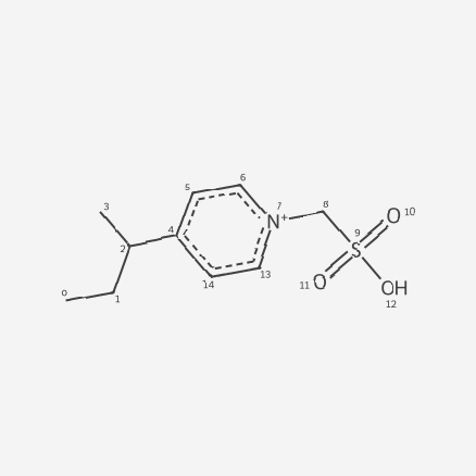 CCC(C)c1cc[n+](CS(=O)(=O)O)cc1